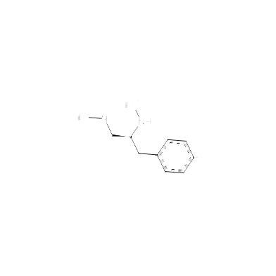 CC(C)NC[C@H](Cc1ccccc1)NC(C)C